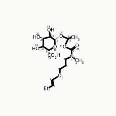 CC/C=C/OCCCN(C)C(=O)OC(C)O[C@@H]1O[C@H](C(=O)O)C(O)[C@H](O)C1O